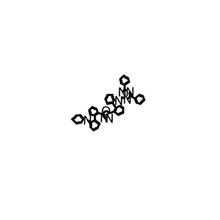 c1ccc(-c2nc(-c3ccccc3)nc(-n3c4ccccc4c4c(-c5nnc(-c6cccc7c6c6ccccc6n7-c6ccccc6)o5)cccc43)n2)cc1